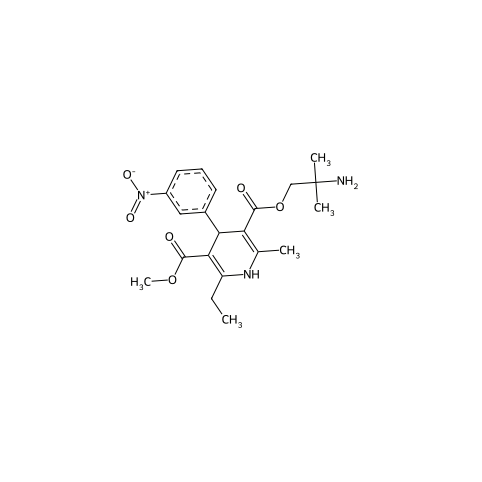 CCC1=C(C(=O)OC)C(c2cccc([N+](=O)[O-])c2)C(C(=O)OCC(C)(C)N)=C(C)N1